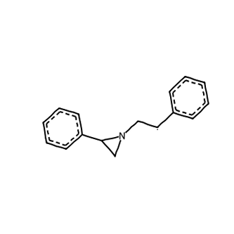 [CH](CN1CC1c1ccccc1)c1ccccc1